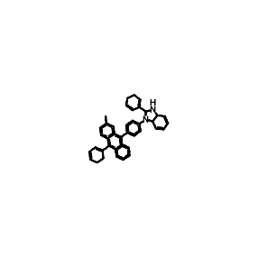 Cc1ccc2c(C3=CC=CCC3)c3ccccc3c(-c3ccc(N4C(C5=CCCC=C5)NC5C=CC=CC54)cc3)c2c1